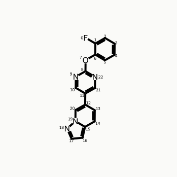 Fc1ccccc1Oc1ncc(-c2ccc3ccnn3c2)cn1